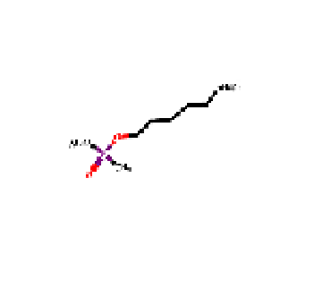 CCCCCCCCCCCCOP(C)(=O)OC